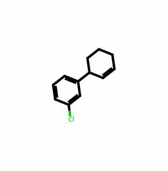 Clc1cccc(C2C=CCCC2)c1